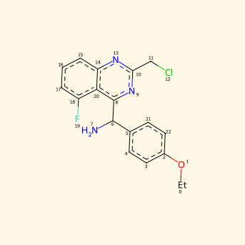 CCOc1ccc(C(N)c2nc(CCl)nc3cccc(F)c23)cc1